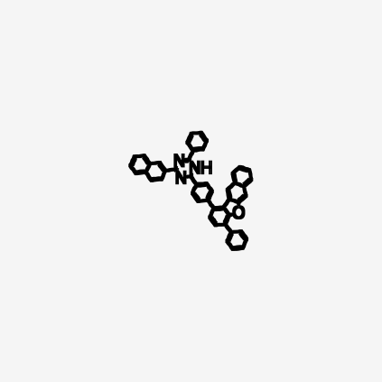 c1ccc(C2=NC(c3ccc4ccccc4c3)=NC(c3ccc(-c4ccc(-c5ccccc5)c5oc6cc7ccccc7cc6c45)cc3)N2)cc1